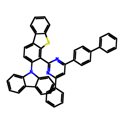 c1ccc(-c2ccc(-c3cc(-c4ccccc4)nc(-c4c(-n5c6ccccc6c6ccccc65)ccc5c4sc4ccccc45)n3)cc2)cc1